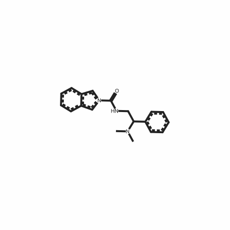 CN(C)C(CNC(=O)n1cc2ccccc2c1)c1ccccc1